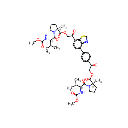 COC(=O)N[C@H](C(=O)N1CCC[C@@]1(C)C(=O)OCC(=O)c1ccc(-c2ccc(C(=O)COC(=O)[C@]3(C)CCCN3C(=O)[C@@H](NC(=O)OC)C(C)C)c3scnc23)cc1)C(C)C